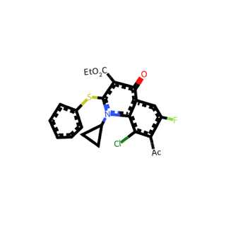 CCOC(=O)c1c(Sc2ccccc2)n(C2CC2)c2c(Cl)c(C(C)=O)c(F)cc2c1=O